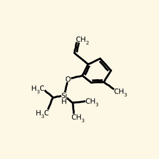 C=Cc1ccc(C)cc1O[SiH](C(C)C)C(C)C